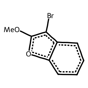 COc1oc2ccccc2c1Br